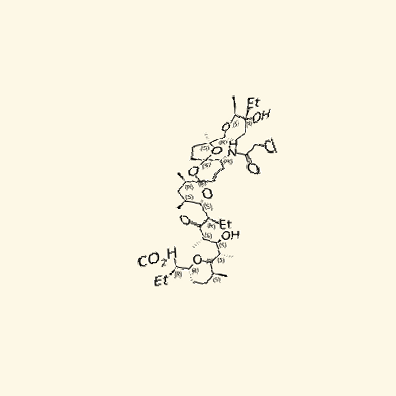 CC[C@@H](C(=O)[C@@H](C)[C@@H](O)[C@H](C)[C@@H]1O[C@@H]([C@@H](CC)C(=O)O)CC[C@@H]1C)[C@H]1O[C@]2(C=C[C@@H](NC(=O)CCl)[C@]3(CC[C@@](C)([C@H]4CC[C@](O)(CC)[C@H](C)O4)O3)O2)[C@H](C)C[C@@H]1C